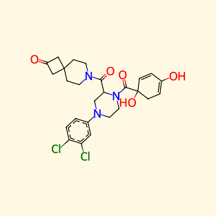 O=C1CC2(CCN(C(=O)C3CN(c4ccc(Cl)c(Cl)c4)CCN3C(=O)C3(O)C=CC(O)=CC3)CC2)C1